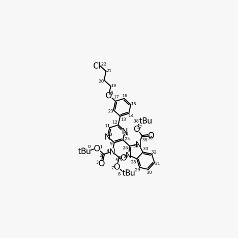 CC(C)(C)OC(=O)N(C(=O)OC(C)(C)C)c1ncc(-c2cccc(OCCCCl)c2)nc1-c1nc2ccccc2n1C(=O)OC(C)(C)C